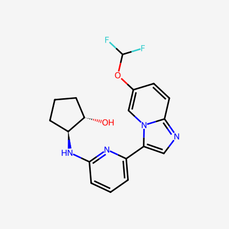 O[C@H]1CCC[C@@H]1Nc1cccc(-c2cnc3ccc(OC(F)F)cn23)n1